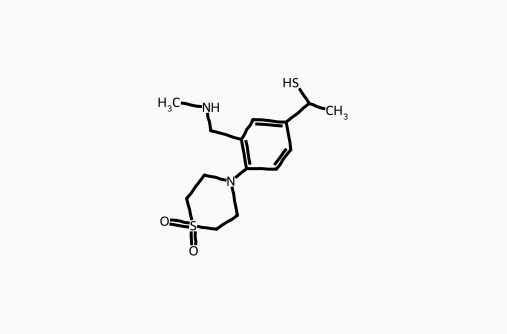 CNCc1cc(C(C)S)ccc1N1CCS(=O)(=O)CC1